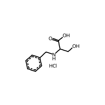 Cl.O=C(O)C(CO)NCc1ccccc1